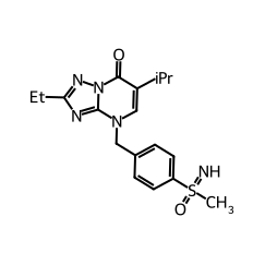 CCc1nc2n(Cc3ccc(S(C)(=N)=O)cc3)cc(C(C)C)c(=O)n2n1